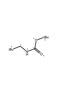 [CH2]CC(C)CNC(=O)OC(C)(C)C